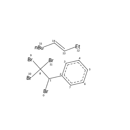 BrC(c1ccccc1)C(Br)(Br)Br.CCC=CCCCC